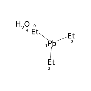 C[CH2][Pb]([CH2]C)[CH2]C.O